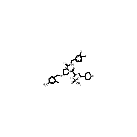 Cc1ccc(CO[C@@H]2C[C@@H](C(=O)NCc3ccc(F)c(Cl)c3)N(C(=O)[C@@H](CCC3CCNCC3)NS(C)(=O)=O)C2)c(F)c1